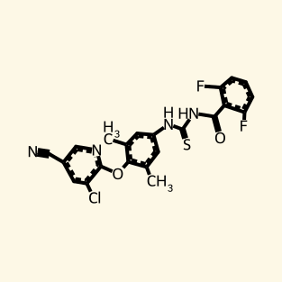 Cc1cc(NC(=S)NC(=O)c2c(F)cccc2F)cc(C)c1Oc1ncc(C#N)cc1Cl